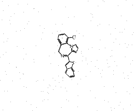 Clc1cccc2c1-n1cccc1C(c1cc3ccccc3s1)=NC2